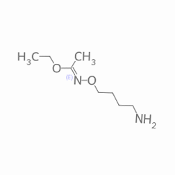 CCO/C(C)=N/OCCCCN